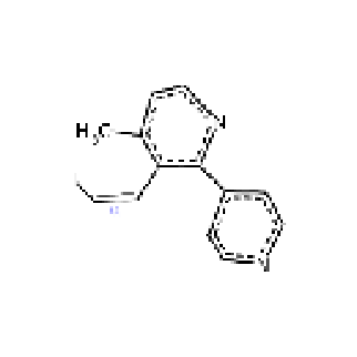 Cc1ccnc(-c2ccncc2)c1/C=C\I